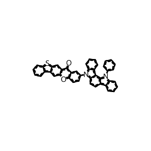 O=c1c2cc(-n3c4ccccc4c4c3ccc3c5ccccc5n(-c5ccccc5)c34)ccc2oc2cc3c(cc12)sc1ccccc13